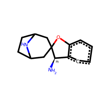 N[C@@H]1c2ccccc2OC12CC1CCC(C2)N1